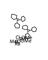 C1CCC(P(C2CCCCC2)C2CCCCC2)CC1.C1CCC(P(C2CCCCC2)C2CCCCC2)CC1.CO[PH](Cl)(OC)OC.[C]=O.[Ru]